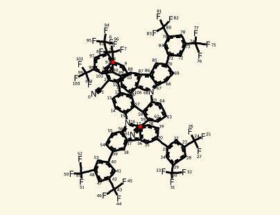 N#Cc1cc(C(F)(F)F)ccc1-c1ccc(-n2c3ccc(-c4cc(C(F)(F)F)cc(C(F)(F)F)c4)cc3c3cc(-c4cc(C(F)(F)F)cc(C(F)(F)F)c4)ccc32)c(-c2c(C#N)cccc2-n2c3ccc(-c4cc(C(F)(F)F)cc(C(F)(F)F)c4)cc3c3cc(-c4cc(C(F)(F)F)cc(C(F)(F)F)c4)ccc32)c1